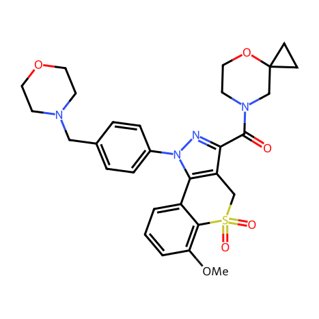 COc1cccc2c1S(=O)(=O)Cc1c(C(=O)N3CCOC4(CC4)C3)nn(-c3ccc(CN4CCOCC4)cc3)c1-2